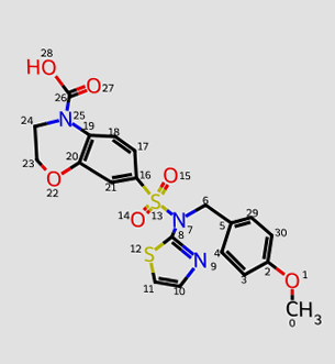 COc1ccc(CN(c2nccs2)S(=O)(=O)c2ccc3c(c2)OCCN3C(=O)O)cc1